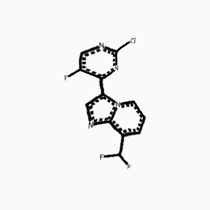 Fc1cnc(Cl)nc1-c1cnc2c(C(F)F)cccn12